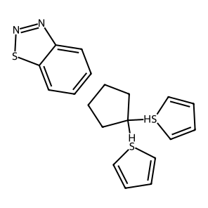 C1=C[SH](C2([SH]3C=CC=C3)CCCC2)C=C1.c1ccc2snnc2c1